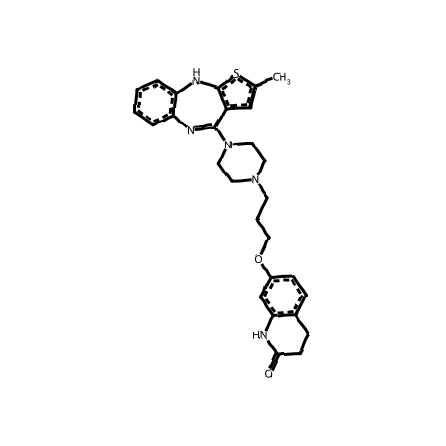 Cc1cc2c(s1)Nc1ccccc1N=C2N1CCN(CCCOc2ccc3c(c2)NC(=O)CC3)CC1